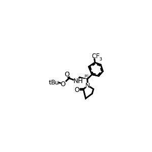 CC(C)(C)OC(=O)NC[C@@H](c1cccc(C(F)(F)F)c1)N1CCCC1=O